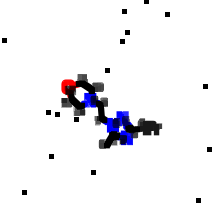 Cc1nc(C(C)C)nn1CCN1CCOCC1